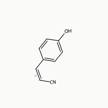 N#C/[C]=C\c1ccc(O)cc1